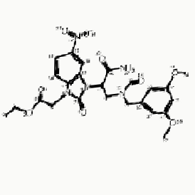 CCOC(=O)Cn1c(=O)n(C(CN(C=O)Cc2cc(OC)cc(OC)c2)C(N)=O)c2cc([N+](=O)[O-])ccc21